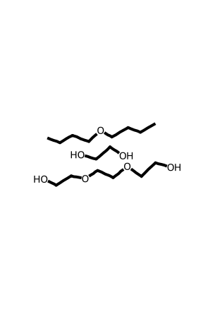 CCCCOCCCC.OCCO.OCCOCCOCCO